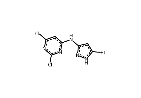 CCc1cc(Nc2cc(Cl)nc(Cl)n2)n[nH]1